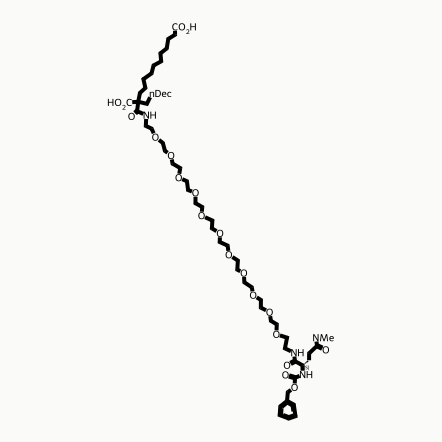 CCCCCCCCCCCC(CCCCCCCCCCC(=O)O)(C(=O)O)C(=O)NCCOCCOCCOCCOCCOCCOCCOCCOCCOCCOCCOCCNC(=O)[C@H](CCC(=O)NC)NC(=O)OCc1ccccc1